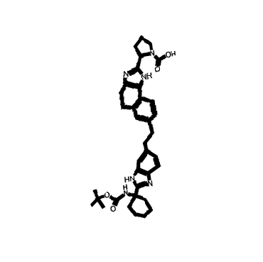 CC(C)(C)OC(=O)NC1(c2nc3ccc(CCc4ccc5c(c4)CCc4nc(C6CCCN6C(=O)O)[nH]c4-5)cc3[nH]2)CCCCC1